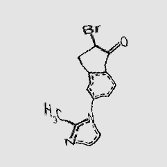 Cc1nccn1-c1ccc2c(c1)CC(Br)C2=O